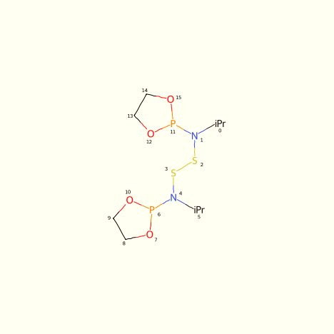 CC(C)N(SSN(C(C)C)P1OCCO1)P1OCCO1